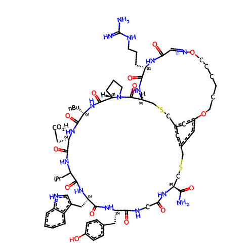 CCCC[C@@H]1NC(=O)[C@@H]2CCCN2C(=O)[C@@H]2CSCc3cc(cc(c3)OCCCCCCO/N=C/C(=O)N[C@@H](CCCNC(=N)N)C(=O)N2)CSC[C@@H](C(N)=O)NC(=O)CNC(=O)[C@H](Cc2ccc(O)cc2)NC(=O)[C@H](Cc2c[nH]c3ccccc23)NC(=O)C(C(C)C)NC(=O)[C@H](CC(=O)O)NC1=O